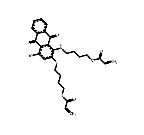 C=CC(=O)OCCCCNc1c(OCCCCOC(=O)C=C)cc(O)c2c1C(=O)c1ccccc1C2=O